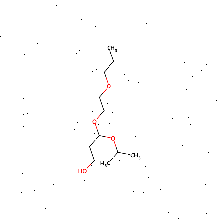 CCCOCCOC(CCO)OC(C)C